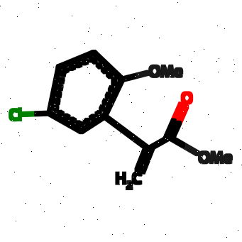 C=C(C(=O)OC)c1cc(Cl)ccc1OC